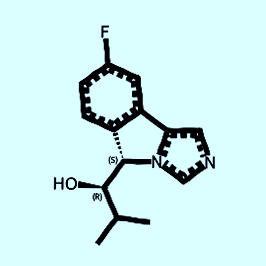 CC(C)[C@@H](O)[C@@H]1c2ccc(F)cc2-c2cncn21